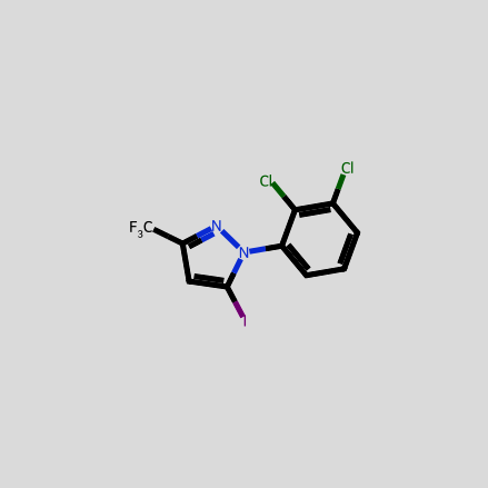 FC(F)(F)c1cc(I)n(-c2cccc(Cl)c2Cl)n1